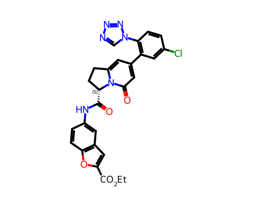 CCOC(=O)c1cc2cc(NC(=O)[C@@H]3CCc4cc(-c5cc(Cl)ccc5-n5cnnn5)cc(=O)n43)ccc2o1